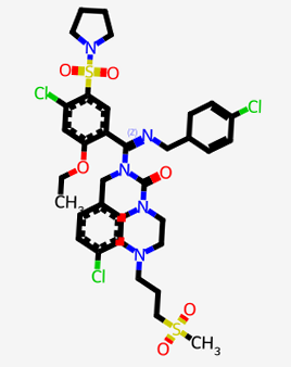 CCOc1cc(Cl)c(S(=O)(=O)N2CCCC2)cc1/C(=N/CC1C=CC(Cl)=CC1)N(Cc1ccc(Cl)cc1)C(=O)N1CCN(CCCS(C)(=O)=O)CC1